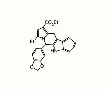 CCOC(=O)c1cc(CC)n2c1Cc1c([nH]c3ccccc13)C2c1ccc2c(c1)OCO2